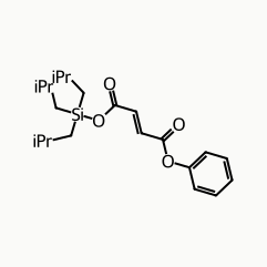 CC(C)C[Si](CC(C)C)(CC(C)C)OC(=O)C=CC(=O)Oc1ccccc1